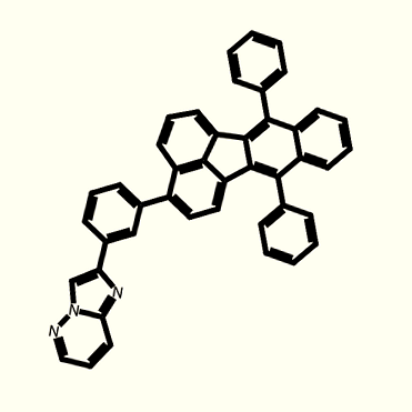 c1ccc(-c2c3c(c(-c4ccccc4)c4ccccc24)-c2ccc(-c4cccc(-c5cn6ncccc6n5)c4)c4cccc-3c24)cc1